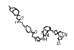 CCc1cnn(C2(CC#N)CN(c3cccn4nc(Nc5cnn(CC(=O)N6CCN(CCNC(=O)CC7(C)CC8CC(C)CC(C8)C7)CC6)c5)nc34)C2)c1